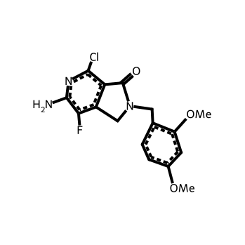 COc1ccc(CN2Cc3c(F)c(N)nc(Cl)c3C2=O)c(OC)c1